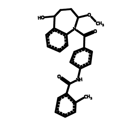 COC1CCC(O)c2ccccc2N1C(=O)c1ccc(NC(=O)c2ccccc2C)cc1